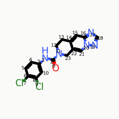 O=C(Nc1ccc(Cl)c(Cl)c1)N1CCc2cc3ncnn3cc2C1